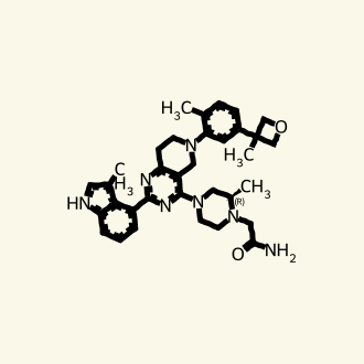 Cc1ccc(C2(C)COC2)cc1N1CCc2nc(-c3cccc4[nH]cc(C)c34)nc(N3CCN(CC(N)=O)[C@H](C)C3)c2C1